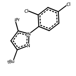 CC(C)c1cc(C(C)(C)C)nn1-c1ccc(Cl)cc1Cl